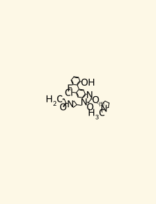 C=CC(=O)N1CC(Cn2c(=O)c(OC[C@@H]3CCCN3C)nc3cc(-c4c(O)cccc4F)c(Cl)cc32)C1